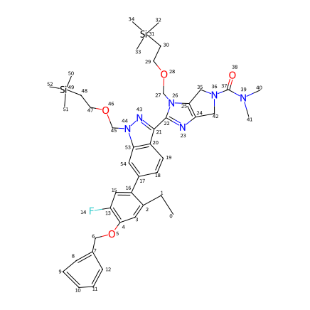 CCc1cc(OCc2ccccc2)c(F)cc1-c1ccc2c(-c3nc4c(n3COCC[Si](C)(C)C)CN(C(=O)N(C)C)C4)nn(COCC[Si](C)(C)C)c2c1